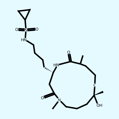 CC1CCC[C@](C)(O)CCCN(C)C(=O)C[C@H](CCCCNS(=O)(=O)C2CC2)NC1=O